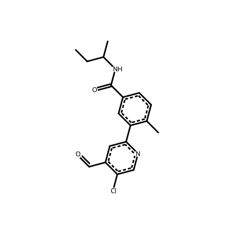 CCC(C)NC(=O)c1ccc(C)c(-c2cc(C=O)c(Cl)cn2)c1